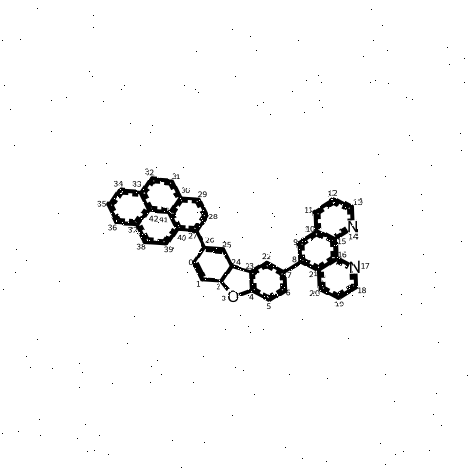 C1=CC2Oc3ccc(-c4cc5cccnc5c5ncccc45)cc3C2C=C1c1ccc2ccc3cccc4ccc1c2c34